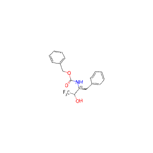 O=C(N[C@@H](Cc1ccccc1)C(O)C(F)(F)F)OCc1ccccc1